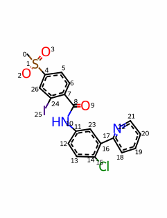 CS(=O)(=O)c1ccc(C(=O)Nc2ccc(Cl)c(-c3ccccn3)c2)c(I)c1